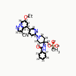 CCOc1cc(-c2ccc(N3CCC(COS(C)(=O)=O)(NC(=O)c4ccccc4)CC3)nc2)c2c(C#N)cnn2c1